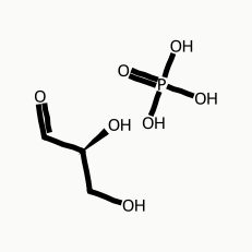 O=C[C@@H](O)CO.O=P(O)(O)O